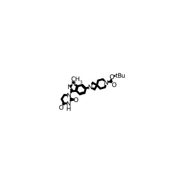 Cn1nc(N2CCC(=O)NC2=O)c2ccc(N3CC4(CCN(C(=O)OC(C)(C)C)CC4)C3)cc21